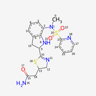 CN(c1cccc2c1NC(C1=NCC(CC(N)=O)S1)C2)S(=O)(=O)c1ccccn1